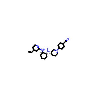 C=Cc1ccnc(N[C@@H]2CCCC[C@H]2N[C@H]2CCCN(c3ccc(C#N)cc3)C2)c1